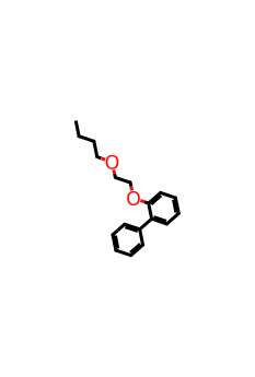 CCCCOCCOc1ccccc1-c1ccccc1